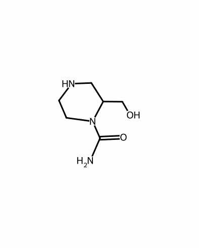 NC(=O)N1CCNCC1CO